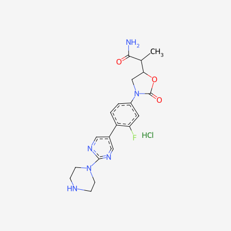 CC(C(N)=O)C1CN(c2ccc(-c3cnc(N4CCNCC4)nc3)c(F)c2)C(=O)O1.Cl